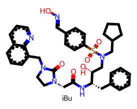 CC[C@H](C)[C@@H](C(=O)N[C@@H](Cc1ccccc1)[C@H](O)CN(CC1CCCC1)S(=O)(=O)c1ccc(/C=N/O)cc1)N1CCN(Cc2cccc3cccnc23)C1=O